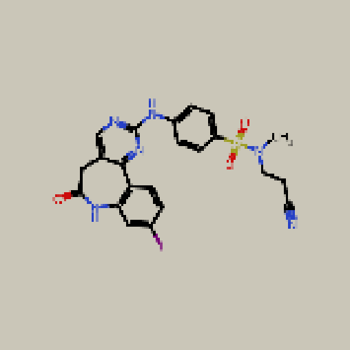 CN(CCC#N)S(=O)(=O)c1ccc(Nc2ncc3c(n2)-c2ccc(I)cc2NC(=O)C3)cc1